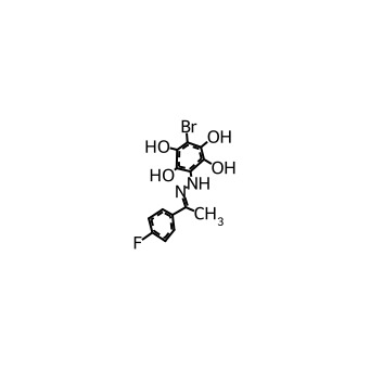 C/C(=N\Nc1c(O)c(O)c(Br)c(O)c1O)c1ccc(F)cc1